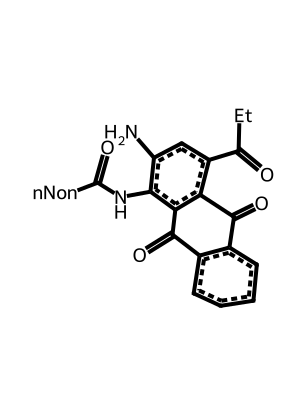 CCCCCCCCCC(=O)Nc1c(N)cc(C(=O)CC)c2c1C(=O)c1ccccc1C2=O